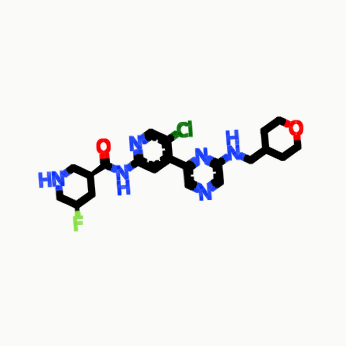 O=C(Nc1cc(-c2cncc(NCC3CCOCC3)n2)c(Cl)cn1)[C@@H]1CNC[C@H](F)C1